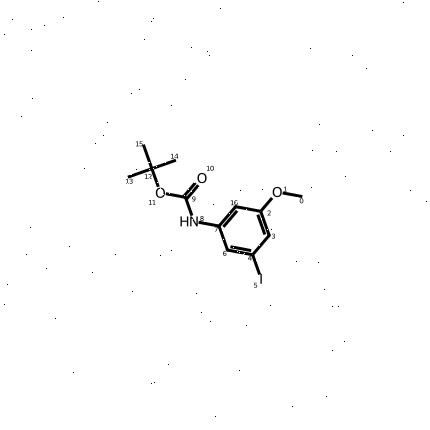 COc1cc(I)cc(NC(=O)OC(C)(C)C)c1